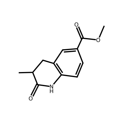 COC(=O)c1ccc2c(c1)CC(C)C(=O)N2